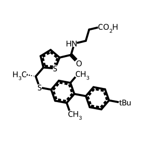 Cc1cc(S[C@H](C)c2ccc(C(=O)NCCC(=O)O)s2)cc(C)c1-c1ccc(C(C)(C)C)cc1